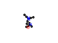 c1ccc(-c2ccc(-c3cc(-c4ccc(-c5cccc(-c6c7c(cc8c(-c9ccccc9)nc9ccccc9c68)oc6ccccc67)c5)cc4)nc(-c4ccc(-c5ccccc5)cc4)n3)cc2)cc1